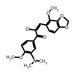 COc1ccc(C(=O)/C(Cl)=C\c2ccc3c(c2OC)OCO3)cc1N(C)C